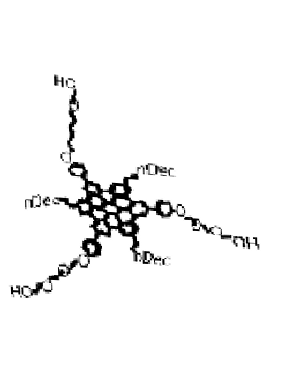 CCCCCCCCCCCCc1cc2c3c(c1)-c1cc(C4=CC=C(OCCCCCCOCCO)CC4)cc4c1c1c5c6c(cc(CCCCCCCCCCCC)cc64)C4=CC(c6ccc(OCCOCCOCCO)cc6)=CC6c7cc(CCCCCCCCCCCC)cc8c7C(=C5C46)C(C4=C2CC(C2=CCC(OCCOCCOCCO)CC2)C=C48)C31